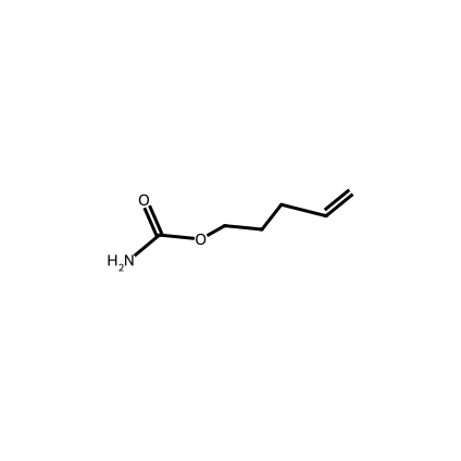 C=CCCCOC(N)=O